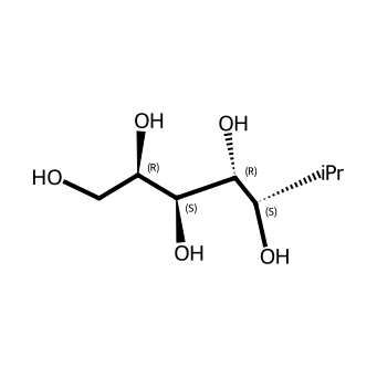 CC(C)[C@H](O)[C@@H](O)[C@@H](O)[C@H](O)CO